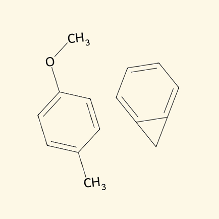 COc1ccc(C)cc1.c1ccc2c(c1)C2